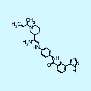 C=CC(=C)N1CCCC(/C(N)=C/Nc2ccc(NC(=O)c3cccc(-c4ccn[nH]4)n3)cc2)C1